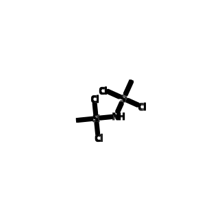 C[Si](Cl)(Cl)N[Si](C)(Cl)Cl